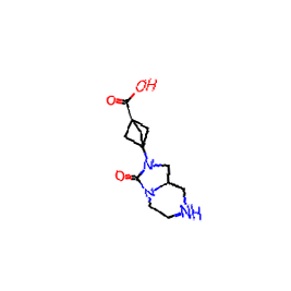 O=C1N2CCNCC2CN1C12CC(C(=O)O)(C1)C2